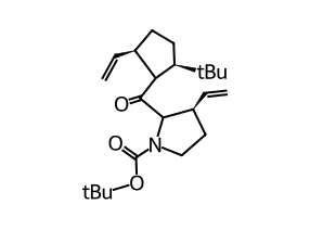 C=C[C@H]1CC[C@@H](C(C)(C)C)C1C(=O)C1[C@@H](C=C)CCN1C(=O)OC(C)(C)C